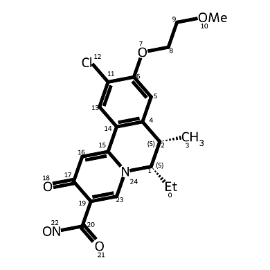 CC[C@H]1[C@@H](C)c2cc(OCCOC)c(Cl)cc2-c2cc(=O)c(C(=O)N=O)cn21